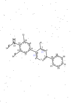 C=C(/C=C(C)\C(=C/C)c1cc(C)c(NF)c(F)c1)c1ccccc1